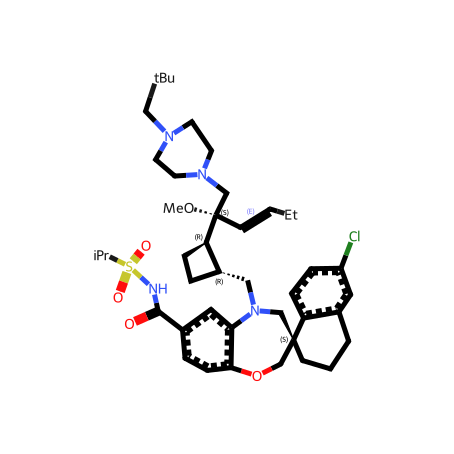 CC/C=C/[C@@](CN1CCN(CC(C)(C)C)CC1)(OC)[C@@H]1CC[C@H]1CN1C[C@@]2(CCCc3cc(Cl)ccc32)COc2ccc(C(=O)NS(=O)(=O)C(C)C)cc21